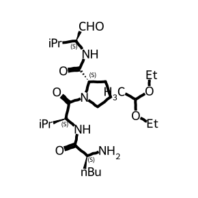 CCCC[C@H](N)C(=O)N[C@H](C(=O)N1CCC[C@H]1C(=O)N[C@H](C=O)C(C)C)C(C)C.CCOC(C)OCC